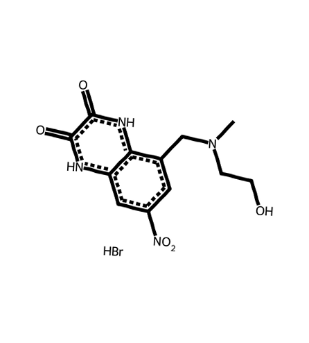 Br.CN(CCO)Cc1cc([N+](=O)[O-])cc2[nH]c(=O)c(=O)[nH]c12